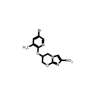 Cc1cc(Br)cnc1OC1COc2nc([N+](=O)[O-])cn2C1